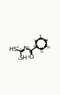 O=C(N=C(S)S)c1ccccc1